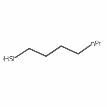 CCCCCCC[SiH]